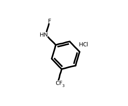 Cl.FNc1cccc(C(F)(F)F)c1